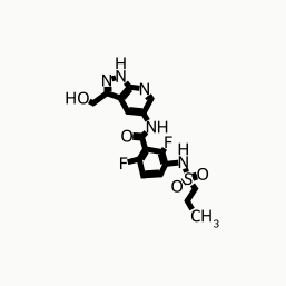 CCCS(=O)(=O)Nc1ccc(F)c(C(=O)Nc2cnc3[nH]nc(CO)c3c2)c1F